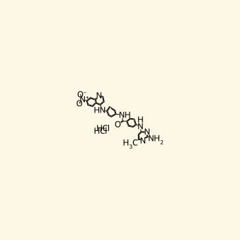 Cc1cc(Nc2ccc(C(=O)Nc3ccc(Nc4ccnc5cc([N+](=O)[O-])ccc45)cc3)cc2)nc(N)n1.Cl.Cl